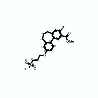 COC(=O)c1cc2c(cc1F)CCCc1cc(OCCCS(C)(=O)=O)ccc1-2